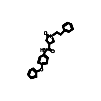 O=C(Nc1ccc(Oc2ccccc2)cc1)C1CC(=O)N(CCc2ccccc2)C1